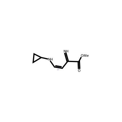 COC(=O)C(=N)/C=C\NC1CC1